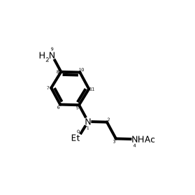 CCN(CCNC(C)=O)c1ccc(N)cc1